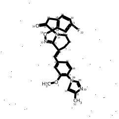 COc1cc(/C=C2\CCCN3C2=NOC32C(=O)Cc3ccc(F)cc32)ccc1-n1cnc(C)c1